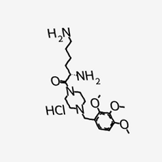 COc1ccc(CN2CCN(C(=O)[C@@H](N)CCCCN)CC2)c(OC)c1OC.Cl